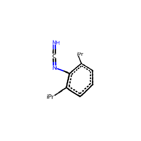 CC(C)c1cccc(C(C)C)c1N=C=N